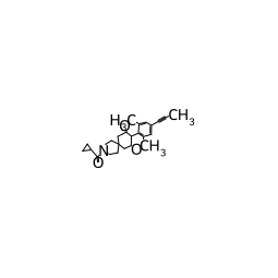 CC#Cc1cc(C)c(C2C(=O)CC3(CCN(C(=O)C4CC4)CC3)CC2=O)c(C)c1